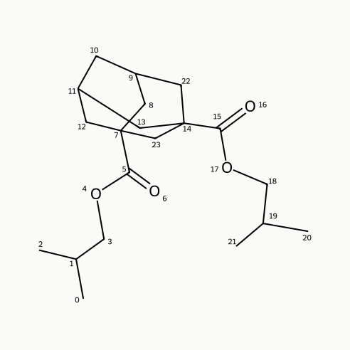 CC(C)COC(=O)C12CC3CC(C1)CC(C(=O)OCC(C)C)(C3)C2